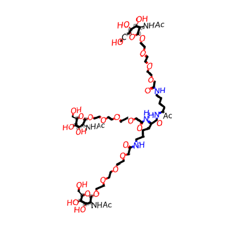 CC(=O)N[C@H]1[C@H](OCCOCCOCCOCC(=O)NCCCCC(NC(=O)C(CCCCNC(=O)COCCOCCOCCO[C@@H]2O[C@H](CO)[C@H](O)[C@H](O)[C@H]2NC(C)=O)NC(=O)COCCOCCOCCO[C@@H]2O[C@H](CO)[C@H](O)[C@H](O)[C@H]2NC(C)=O)C(C)=O)O[C@H](CO)[C@H](O)[C@@H]1O